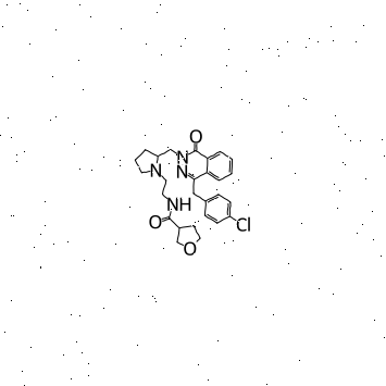 O=C(NCCN1CCCC1Cn1nc(Cc2ccc(Cl)cc2)c2ccccc2c1=O)C1CCOC1